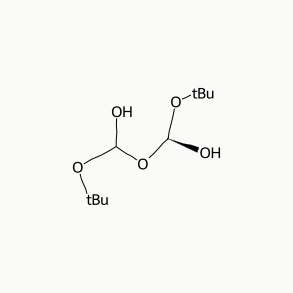 CC(C)(C)OC(O)O[C@H](O)OC(C)(C)C